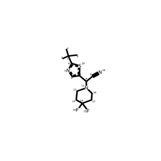 CC(C)(C)c1ncc(C(C#N)N2CCC(F)(F)CC2)s1